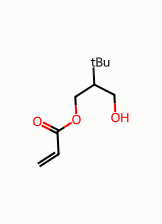 C=CC(=O)OCC(CO)C(C)(C)C